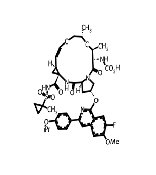 COc1cc2cc(-c3ccc(OC(C)C)cc3)nc(O[C@@H]3C[C@H]4C(=O)N[C@]5(C(=O)NS(=O)(=O)C6(C)CC6)C[C@H]5C=CCC[C@H](C)C[C@@H](C)[C@H](NC(=O)O)C(=O)N4C3)c2cc1F